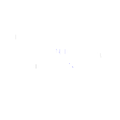 CC1=CC=CC2CN(C(=O)Nc3ccc(C)cc3C)CC12